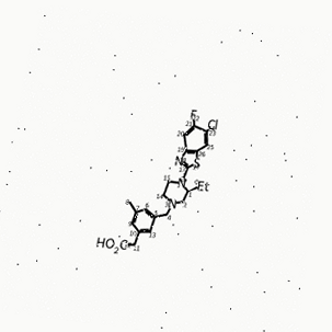 CC[C@H]1CN(Cc2cc(C)cc(CC(=O)O)c2)CCN1c1nc2cc(F)c(Cl)cc2s1